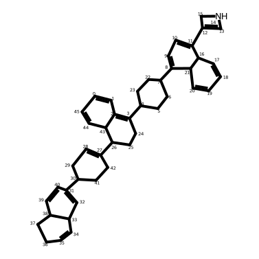 C1=CC2=C(C3CCC(C4=CC=C(C5=CNC5)C5C=CC=CC45)CC3)CCC(C3=CCC(C4=CC5C=CCCC5C=C4)CC3)C2C=C1